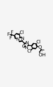 C[C@@H](CO)Oc1cc(Cl)c(-c2noc(-c3cn4cc(C(F)(F)F)cc(Cl)c4n3)n2)cc1Cl